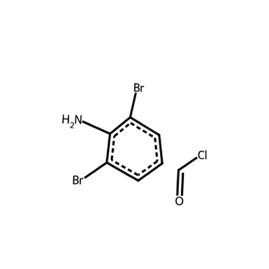 Nc1c(Br)cccc1Br.O=CCl